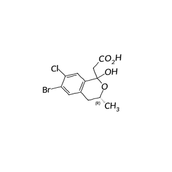 C[C@@H]1Cc2cc(Br)c(Cl)cc2C(O)(CC(=O)O)O1